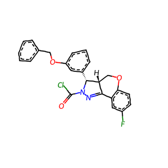 O=C(Cl)N1N=C2c3cc(F)ccc3OC[C@H]2[C@H]1c1cccc(OCc2ccccc2)c1